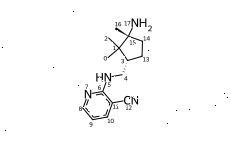 CC1(C)[C@@H](CNc2ncccc2C#N)CC[C@@]1(C)N